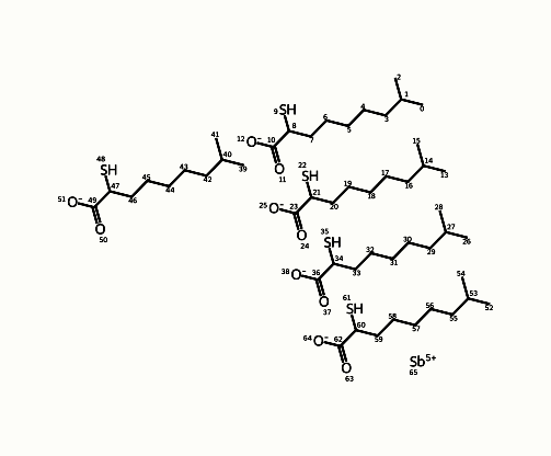 CC(C)CCCCCC(S)C(=O)[O-].CC(C)CCCCCC(S)C(=O)[O-].CC(C)CCCCCC(S)C(=O)[O-].CC(C)CCCCCC(S)C(=O)[O-].CC(C)CCCCCC(S)C(=O)[O-].[Sb+5]